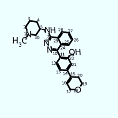 CN1CCC[C@@H](Nc2nnc(-c3ccc(C4=CCOCC4)cc3O)c3ccccc23)C1